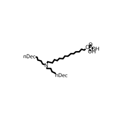 CCCCCCCCCCCCCCN(CCCCCCCCCCCCCC)CCCCCCCCCCCCCCOP(=O)(O)O